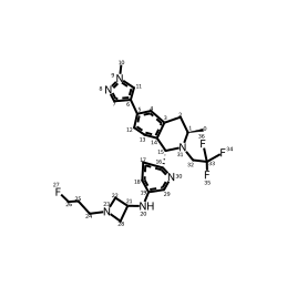 C[C@@H]1Cc2cc(-c3cnn(C)c3)ccc2[C@@H](c2ccc(NC3CN(CCCF)C3)cn2)N1CC(F)(F)F